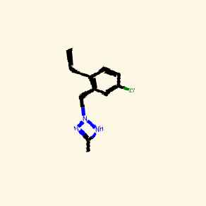 C=Cc1ccc(Cl)cc1Cn1nc(C)[nH]1